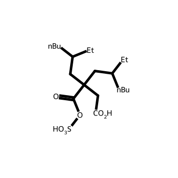 CCCCC(CC)CC(CC(=O)O)(CC(CC)CCCC)C(=O)OS(=O)(=O)O